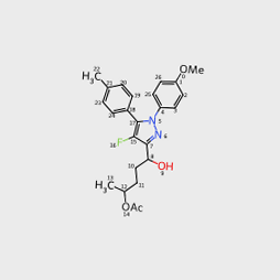 COc1ccc(-n2nc(C(O)CCC(C)OC(C)=O)c(F)c2-c2ccc(C)cc2)cc1